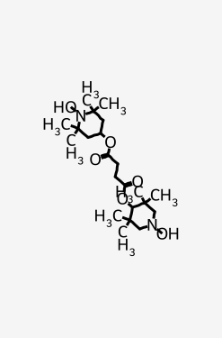 CC1(C)CN(O)CC(C)(C)C1OC(=O)CCC(=O)OC1CC(C)(C)N(O)C(C)(C)C1